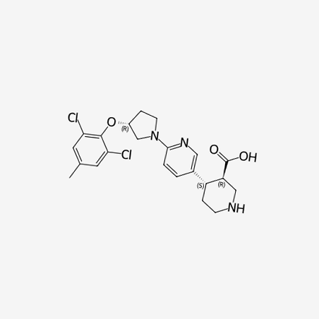 Cc1cc(Cl)c(O[C@@H]2CCN(c3ccc([C@H]4CCNC[C@@H]4C(=O)O)cn3)C2)c(Cl)c1